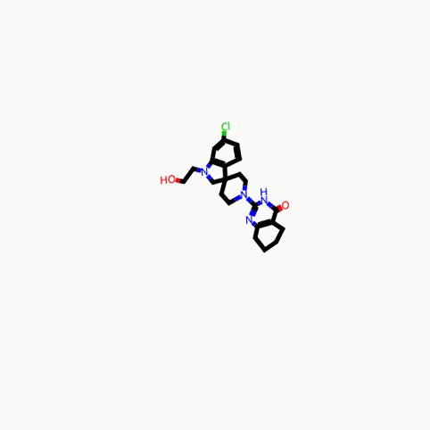 O=c1[nH]c(N2CCC3(CC2)CN(CCO)c2cc(Cl)ccc23)nc2c1CCCC2